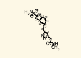 CNC(=O)Cn1cc(COc2ccc3nc(S(N)(=O)=O)sc3c2)nn1